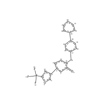 O=c1cc(-c2noc(C(F)(F)F)n2)ccn1Cc1ccc(-c2ccccc2)cc1